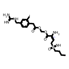 CCCCS(=N)(=O)C/C=C(/N)C(=O)OCOC(=O)Cc1ccc(CNC(=N)N)cc1I